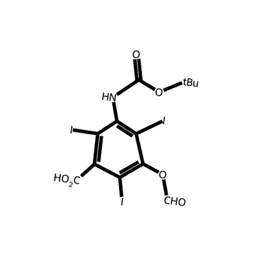 CC(C)(C)OC(=O)Nc1c(I)c(OC=O)c(I)c(C(=O)O)c1I